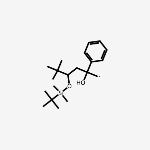 [CH2]C(O)(CC(O[Si](C)(C)C(C)(C)C)C(C)(C)C)c1ccccc1